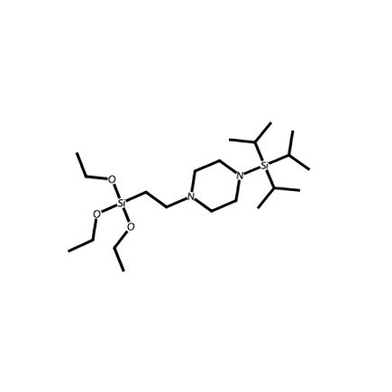 CCO[Si](CCN1CCN([Si](C(C)C)(C(C)C)C(C)C)CC1)(OCC)OCC